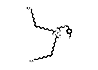 CCCCCCCC/C=C\CCCCCCCC(=O)OP(=O)(OC(=O)CCCCCCC/C=C\CCCCCCCC)OC(=O)CC/N=C\c1ccc(C=O)cc1